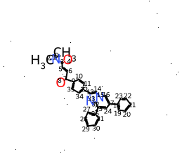 CN(C)C(=O)C=CC(=O)c1ccc(-c2cn3cc(-c4ccccc4)cc(-c4ccccc4)c3n2)cc1